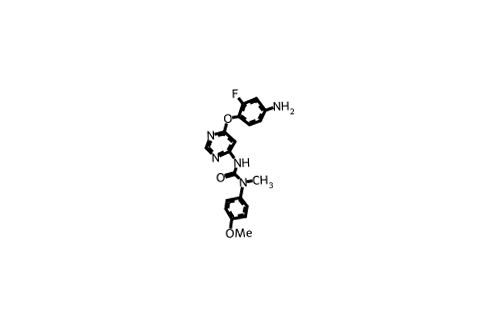 COc1ccc(N(C)C(=O)Nc2cc(Oc3ccc(N)cc3F)ncn2)cc1